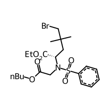 CCCCOC(=O)CN([C@@H](CC(C)(C)CBr)C(=O)OCC)S(=O)(=O)c1ccccc1